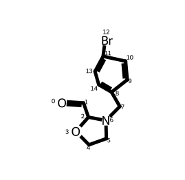 O=CC1OCCN1Cc1ccc(Br)cc1